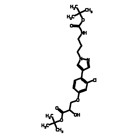 CC(C)(C)OC(=O)NCCCn1cc(-c2ccc(OCC(O)C(=O)OC(C)(C)C)cc2Cl)cn1